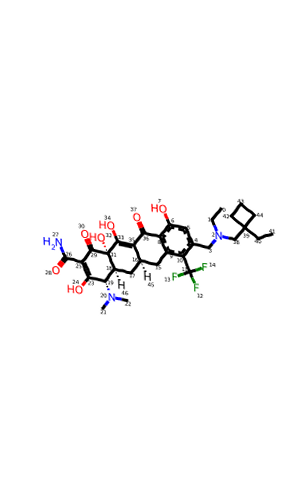 CCN(Cc1cc(O)c2c(c1C(F)(F)F)C[C@H]1C[C@H]3[C@H](N(C)C)C(O)=C(C(N)=O)C(=O)[C@@]3(O)C(O)=C1C2=O)CC1(CC)CCC1